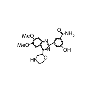 COc1cc2nc(-c3cc(O)cc(C(N)=O)c3)nc(C3CNCCO3)c2cc1OC